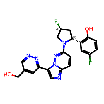 OCc1cnnc(-c2cnc3ccc(N4C[C@@H](F)C[C@@H]4c4cc(F)ccc4O)nn23)c1